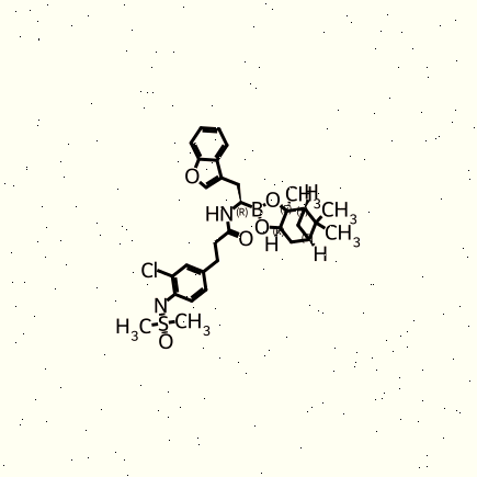 CC1(C)[C@@H]2C[C@H]3OB([C@H](Cc4coc5ccccc45)NC(=O)CCc4ccc(N=S(C)(C)=O)c(Cl)c4)O[C@@]3(C)[C@H]1C2